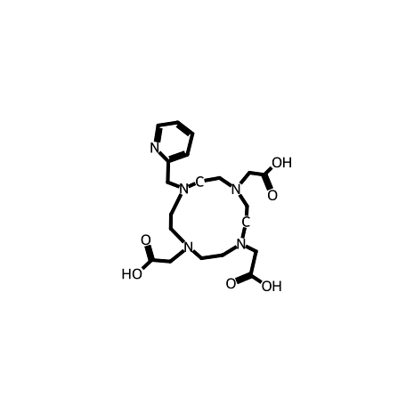 O=C(O)CN1CCN(CC(=O)O)CCN(Cc2ccccn2)CCN(CC(=O)O)CC1